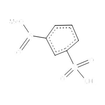 COS(=O)c1cccc(S(C)(=O)=O)c1